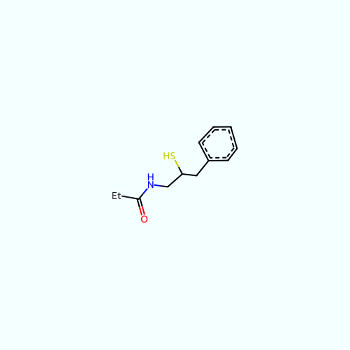 CCC(=O)NCC(S)Cc1ccccc1